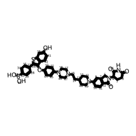 O=C1CCC(N2Cc3cc(N4CCC(CCN5CCN(c6ccc(Oc7c(-c8ccc(B(O)O)cc8)sc8cc(O)ccc78)cc6)CC5)CC4)ccc3C2=O)C(=O)N1